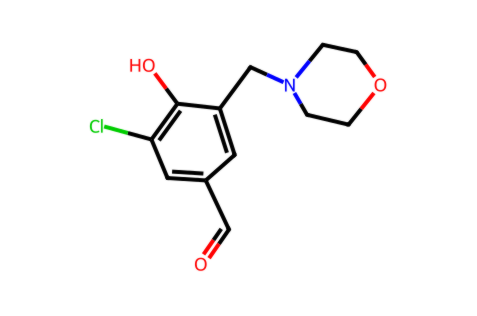 O=Cc1cc(Cl)c(O)c(CN2CCOCC2)c1